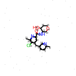 Cc1ccc(Cc2cc(C(=O)NC3COCC[C@@H]3O)nc(C)c2Cl)cn1